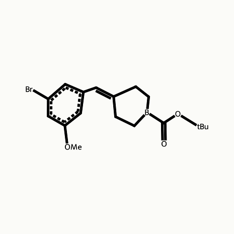 COc1cc(Br)cc(C=C2CCB(C(=O)OC(C)(C)C)CC2)c1